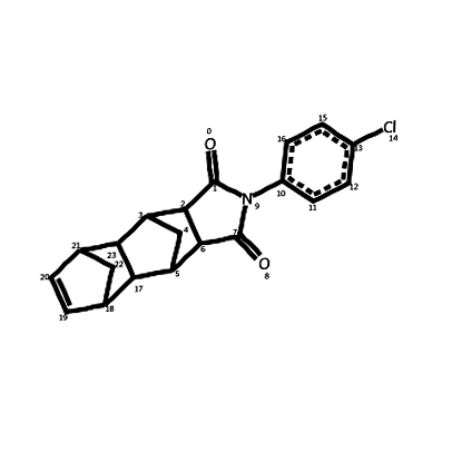 O=C1C2C3CC(C2C(=O)N1c1ccc(Cl)cc1)C1C2C=CC(C2)C31